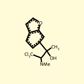 CNC(C(Cl)(Cl)Cl)C(C)(O)c1ccc2ccoc2c1